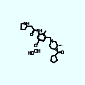 Cc1c(CN2CCN(C(=O)C3CCCC3)[C@@H](C)C2)cc(Cl)cc1NC(=O)CC1CCCN1.Cl.Cl